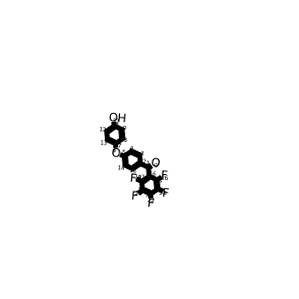 O=C(c1ccc(Oc2ccc(O)cc2)cc1)c1c(F)c(F)c(F)c(F)c1F